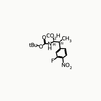 C[C@@H](c1ccc([N+](=O)[O-])c(F)c1)[C@@H](NC(=O)OC(C)(C)C)C(=O)O